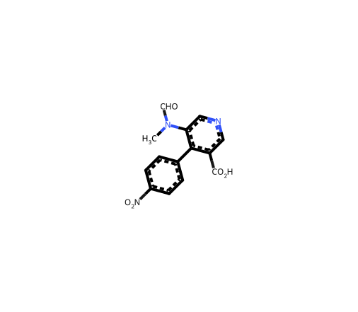 CN(C=O)c1cncc(C(=O)O)c1-c1ccc([N+](=O)[O-])cc1